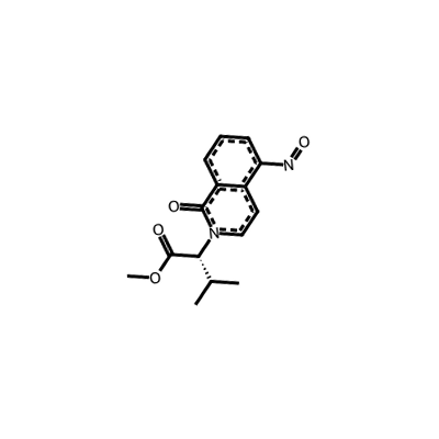 COC(=O)[C@@H](C(C)C)n1ccc2c(N=O)cccc2c1=O